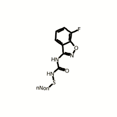 CCCCCCCCCSNC(=O)Nc1noc2c(F)cccc12